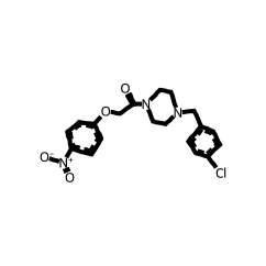 O=C(COc1ccc([N+](=O)[O-])cc1)N1CCN(Cc2ccc(Cl)cc2)CC1